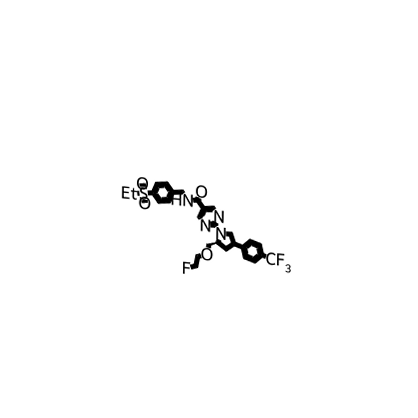 CCS(=O)(=O)c1ccc(CNC(=O)c2cnc(N3CC(c4ccc(C(F)(F)F)cc4)C[C@H]3COCCF)nc2)cc1